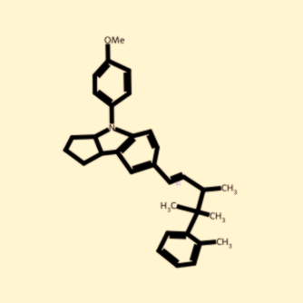 COc1ccc(N2c3ccc(/C=C/C(C)C(C)(C)c4ccccc4C)cc3C3CCCC32)cc1